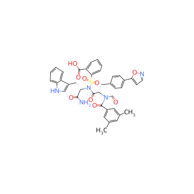 Cc1cc(C)cc(C(=O)N(C=O)[C@@H](Cc2ccc(-c3ccno3)cc2)C(=O)N([C@@H](Cc2c[nH]c3ccccc23)C(N)=O)S(=O)(=O)c2ccccc2C(=O)O)c1